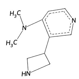 CN(C)c1ccncc1C1CNC1